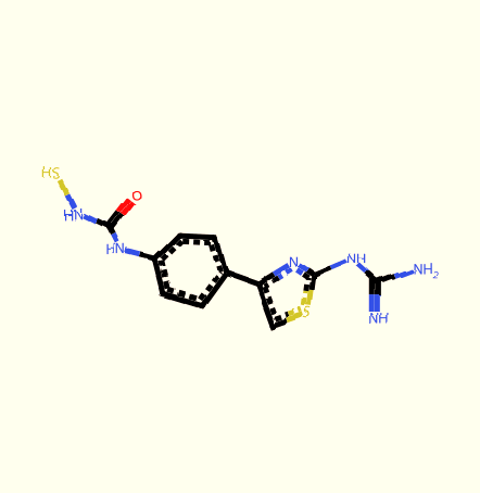 N=C(N)Nc1nc(-c2ccc(NC(=O)NS)cc2)cs1